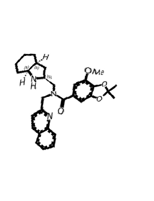 COc1cc(C(=O)N(Cc2ccc3ccccc3n2)C[C@@H]2C[C@@H]3CCCC[C@@H]3N2)cc2c1OC(C)(C)O2